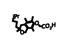 Cc1c(C)c(OCC(=O)O)c(C)c2c1CC(C)(CCCC(C)C)OC2